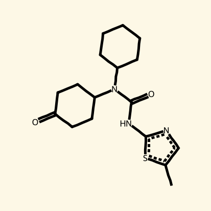 Cc1cnc(NC(=O)N(C2CCCCC2)C2CCC(=O)CC2)s1